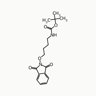 CC(C)(C)OC(=O)NCCCCON1C(=O)c2ccccc2C1=O